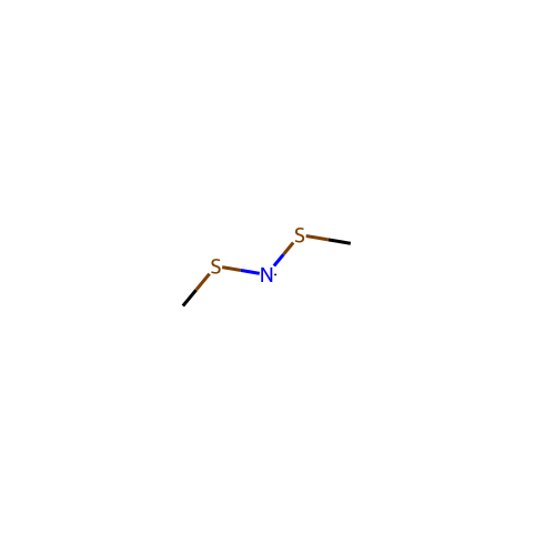 CS[N]SC